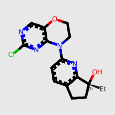 CC[C@@]1(O)CCc2ccc(N3CCOc4cnc(Cl)nc43)nc21